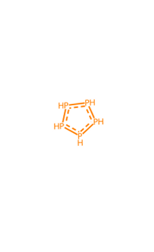 [pH]1[pH][pH][pH][pH]1